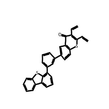 C=Cc1sc2ccc(-c3cccc(-c4cccc5c4sc4ccccc45)c3)cc2c(=O)c1C=C